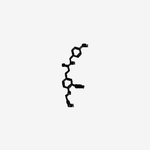 C#CCOc1ccc(CCC(=O)NCc2ccc(C(C)(C)C)cc2)cc1OC